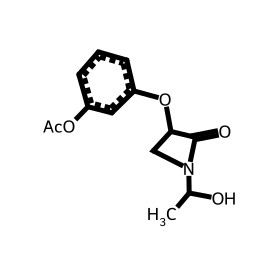 CC(=O)Oc1cccc(OC2CN(C(C)O)C2=O)c1